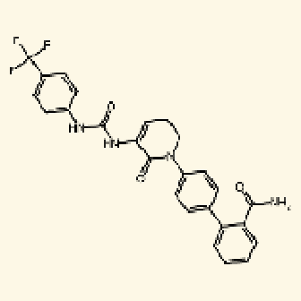 NC(=O)c1ccccc1-c1ccc(N2CCC=C(NC(=O)Nc3ccc(C(F)(F)F)cc3)C2=O)cc1